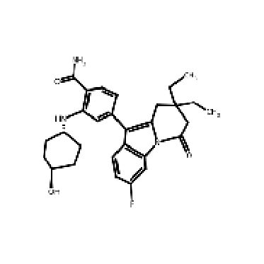 CCC1(CC)CC(=O)n2c(c(-c3ccc(C(N)=O)c(N[C@H]4CC[C@H](O)CC4)c3)c3ccc(F)cc32)C1